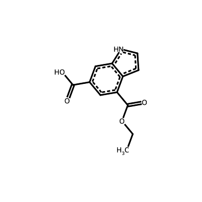 CCOC(=O)c1cc(C(=O)O)cc2[nH]ccc12